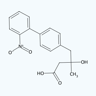 CC(O)(CC(=O)O)Cc1ccc(-c2ccccc2[N+](=O)[O-])cc1